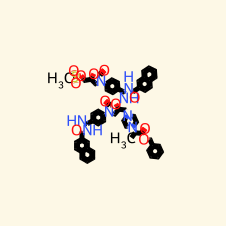 CC(C(=O)OCc1ccccc1)N1CCN(CC2CN(c3ccc(C(=N)NC(=O)c4ccc5ccccc5c4)cc3)C(=O)O2)CC1.CS(=O)(=O)OCC1CN(c2ccc(C(=N)NC(=O)c3ccc4ccccc4c3)cc2)C(=O)O1